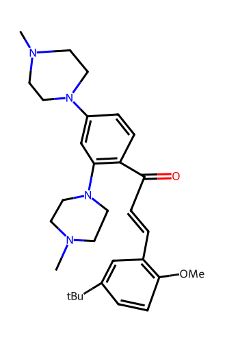 COc1ccc(C(C)(C)C)cc1C=CC(=O)c1ccc(N2CCN(C)CC2)cc1N1CCN(C)CC1